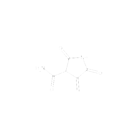 C=C1C(=O)NC(=O)C1C(N)=O